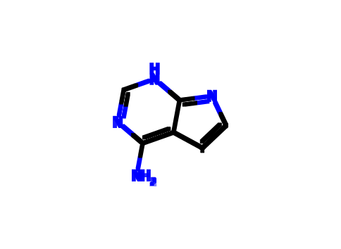 Nc1nc[nH]c2nc[c]c1-2